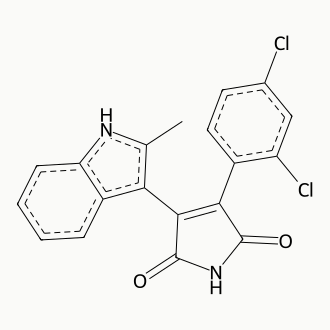 Cc1[nH]c2ccccc2c1C1=C(c2ccc(Cl)cc2Cl)C(=O)NC1=O